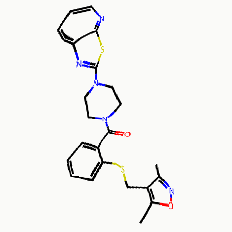 Cc1noc(C)c1CSc1ccccc1C(=O)N1CCN(c2nc3cccnc3s2)CC1